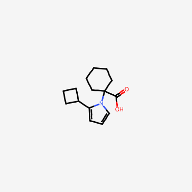 O=C(O)C1(n2cccc2C2CCC2)CCCCC1